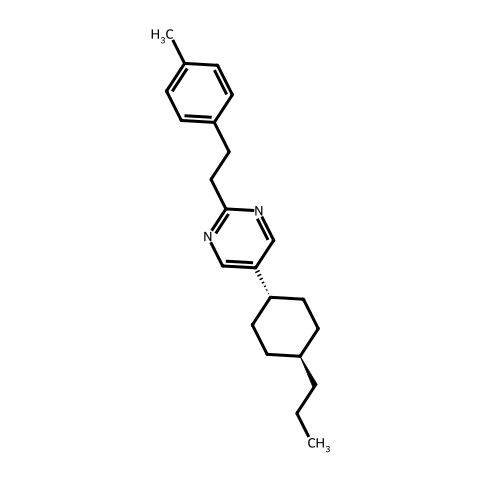 CCC[C@H]1CC[C@H](c2cnc(CCc3ccc(C)cc3)nc2)CC1